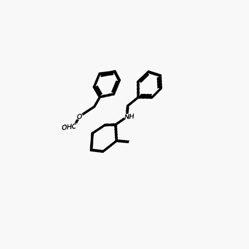 CC1CCCCC1NCc1ccccc1.O=COCc1ccccc1